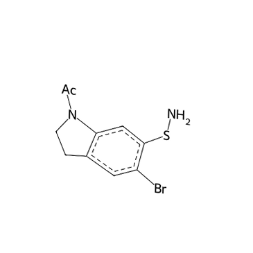 CC(=O)N1CCc2cc(Br)c(SN)cc21